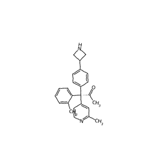 CC(=O)[C@](c1ccc(C2CNC2)cc1)(c1ccnc(C)c1)c1ccccc1C